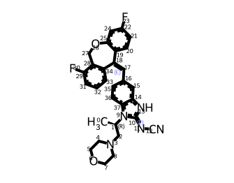 C[C@H](CN1CCOCC1)n1/c(=N/C#N)[nH]c2cc(/C=C3/c4ccc(F)cc4OCc4c(F)cccc43)ccc21